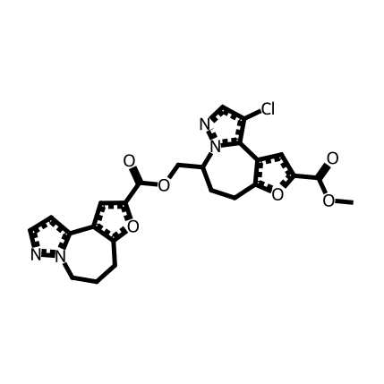 COC(=O)c1cc2c(o1)CCC(COC(=O)c1cc3c(o1)CCCn1nccc1-3)n1ncc(Cl)c1-2